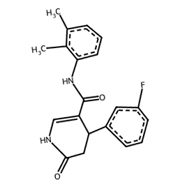 Cc1cccc(NC(=O)C2=CNC(=O)CC2c2cccc(F)c2)c1C